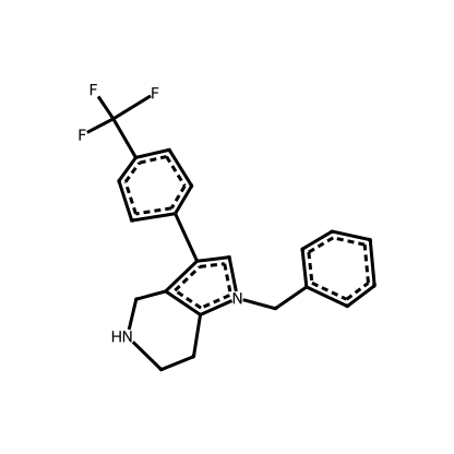 FC(F)(F)c1ccc(-c2cn(Cc3ccccc3)c3c2CNCC3)cc1